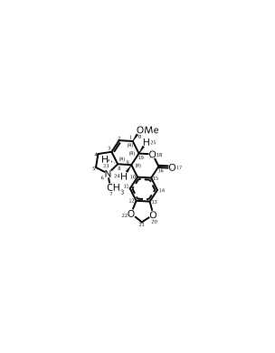 CO[C@@H]1C=C2CCN(C)[C@@H]2[C@H]2c3cc4c(cc3C(=O)O[C@H]21)OCO4